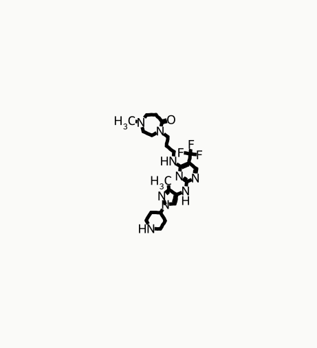 Cc1nn(C2CCNCC2)cc1Nc1ncc(C(F)(F)F)c(NCCCN2CCN(C)CCC2=O)n1